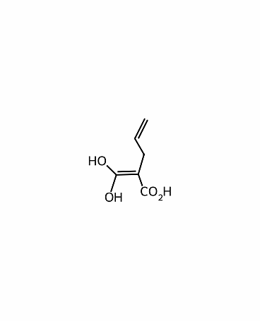 C=CCC(C(=O)O)=C(O)O